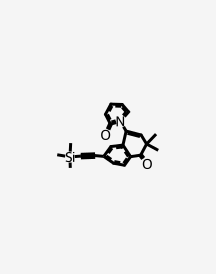 CC1(C)C=C(n2ccccc2=O)c2cc(C#C[Si](C)(C)C)ccc2C1=O